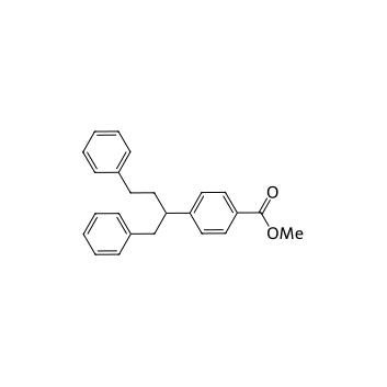 COC(=O)c1ccc(C(CCc2ccccc2)Cc2ccccc2)cc1